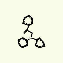 O=C(C[SiH](c1ccccc1)c1ccccc1)c1ccccc1